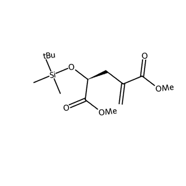 C=C(C[C@H](O[Si](C)(C)C(C)(C)C)C(=O)OC)C(=O)OC